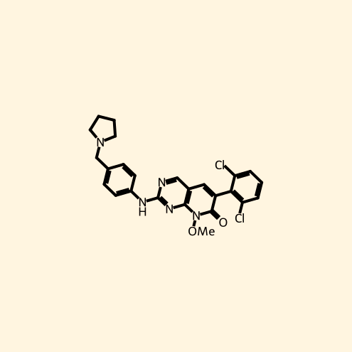 COn1c(=O)c(-c2c(Cl)cccc2Cl)cc2cnc(Nc3ccc(CN4CCCC4)cc3)nc21